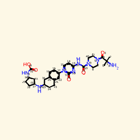 CC(C)(N)C(=O)N1CCN(C(=O)Nc2ccn(-c3ccc4c(c3)CCC(N[C@H]3CC[C@H](NC(=O)O)C3)C4)c(=O)n2)CC1